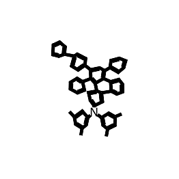 Cc1cc(C)cc(N(c2cc(C)cc(C)c2)c2ccc3c(c2)c2ccccc2c2c(-c4ccccc4)cc(-c4ccc(-c5ccccc5)cc4)c(-c4ccccc4)c32)c1